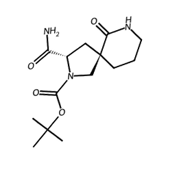 CC(C)(C)OC(=O)N1C[C@@]2(CCCNC2=O)C[C@H]1C(N)=O